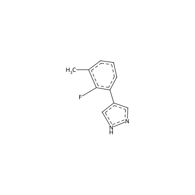 Cc1cccc(-c2cn[nH]c2)c1F